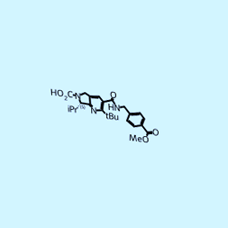 COC(=O)c1ccc(CNC(=O)c2cc3c(nc2C(C)(C)C)[C@H](C(C)C)N(C(=O)O)C3)cc1